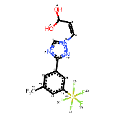 OC(O)/C=C\n1cnc(-c2cc(C(F)(F)F)cc(S(F)(F)(F)(F)F)c2)n1